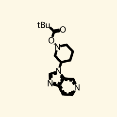 CC(C)(C)C(=O)ON1CCCC(n2cnc3ccncc32)C1